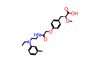 CCN(CCNC(=O)COc1ccc(C[C@H](OC)C(=O)O)cc1)c1cccc(C)c1